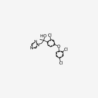 CC(O)(Cn1cncn1)c1ccc(Oc2ccc(Cl)cc2Cl)cc1Cl